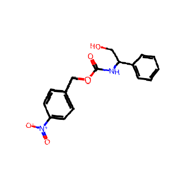 O=C(NC(CO)c1ccccc1)OCc1ccc([N+](=O)[O-])cc1